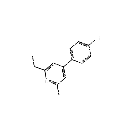 CCc1cc(-c2ccc(Cl)cc2)cc(C)n1